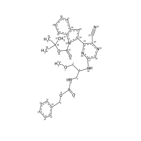 COCC(CNC(=O)OCc1ccccc1)Nc1cnc(C#N)c(-c2cc3ccccc3n2C(=O)OC(C)(C)C)n1